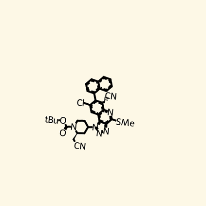 CSc1nc2c(F)c(-c3cccc4cccc(C#N)c34)c(Cl)cc2c2c1nnn2C1CCN(C(=O)OC(C)(C)C)[C@H](CC#N)C1